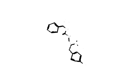 C[C@H](NC(=O)NC[C@H](Cc1ccc(O)cc1)N(C)C)c1ccccc1